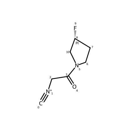 [C-]#[N+]CC(=O)N1CC[C@@H](F)C1